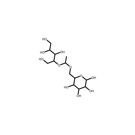 CC(OCC1OC(O)C(O)C(O)C1O)OC(CO)C(O)C(O)CO